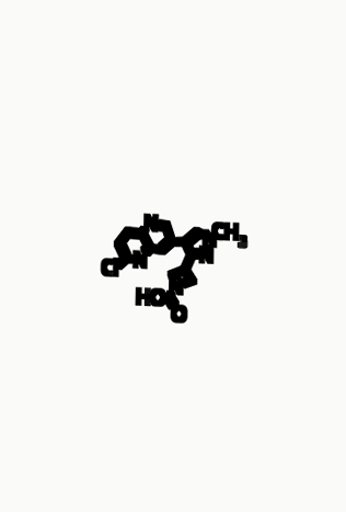 Cn1cc(-c2cnc3ccc(Cl)nc3c2)c(C2CN(C(=O)O)C2)n1